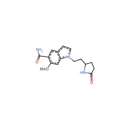 COc1cc2c(ccn2CCC2CCC(=O)N2)cc1C(N)=O